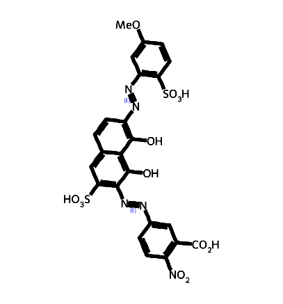 COc1ccc(S(=O)(=O)O)c(/N=N/c2ccc3cc(S(=O)(=O)O)c(/N=N/c4ccc([N+](=O)[O-])c(C(=O)O)c4)c(O)c3c2O)c1